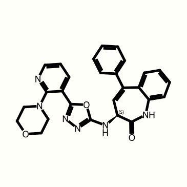 O=C1Nc2ccccc2C(c2ccccc2)=C[C@@H]1Nc1nnc(-c2cccnc2N2CCOCC2)o1